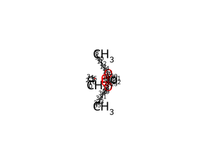 CC12C=CC(CC1)C2.CCCCCCCCOC(=O)c1ccccc1C(=O)OCCCCCCCC